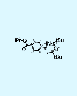 CC(C)OC(=O)c1ccc([C@@H](CCC(C)(C)C)N[S+]([O-])C(C)(C)C)cc1